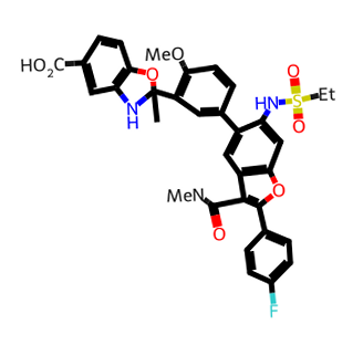 CCS(=O)(=O)Nc1cc2oc(-c3ccc(F)cc3)c(C(=O)NC)c2cc1-c1ccc(OC)c(C2(C)Nc3cc(C(=O)O)ccc3O2)c1